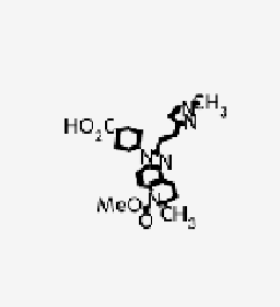 COC(=O)N1c2ccc3c(nc(CCc4ccn(C)n4)n3[C@H]3CC[C@H](C(=O)O)CC3)c2CC[C@@H]1C